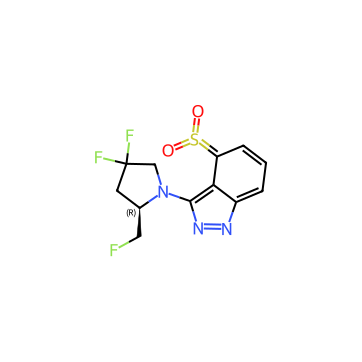 O=S(=O)=C1C=CC=C2N=NC(N3CC(F)(F)C[C@@H]3CF)=C21